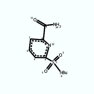 CCCCS(=O)(=O)c1cccc(C(N)=O)n1